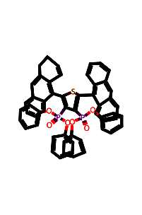 O=P(Oc1ccccc1)(Oc1ccccc1)c1c(-c2c3c(cc4ccccc24)CCC=C3)sc(-c2c3ccccc3cc3ccccc23)c1P(=O)(Oc1ccccc1)Oc1ccccc1